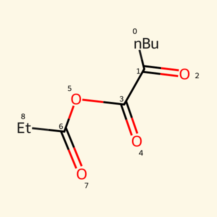 CCCCC(=O)C(=O)OC(=O)CC